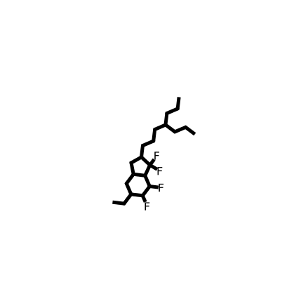 CCCC(CCC)CCCC1CC2CC(CC)C(F)C(F)C2C1(F)F